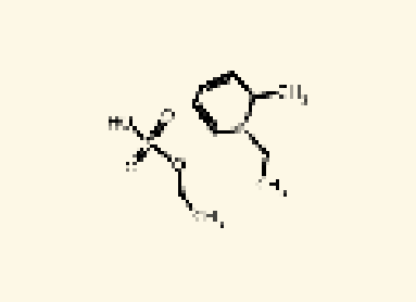 CCN1C=CC=CC1C.CCOS(=O)(=O)O